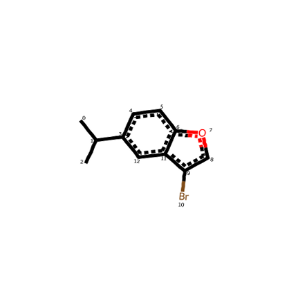 CC(C)c1ccc2occ(Br)c2c1